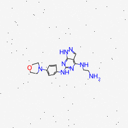 NCCNc1nc(Nc2ccc(N3CCOCC3)cc2)nc2[nH]ncc12